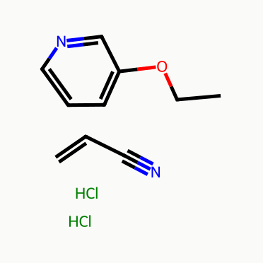 C=CC#N.CCOc1cccnc1.Cl.Cl